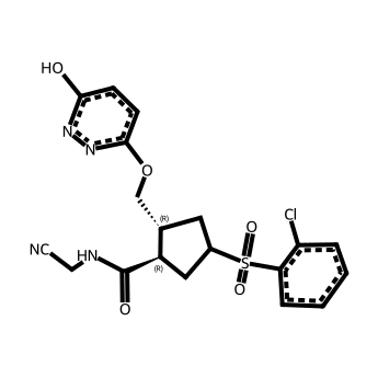 N#CCNC(=O)[C@@H]1CC(S(=O)(=O)c2ccccc2Cl)C[C@H]1COc1ccc(O)nn1